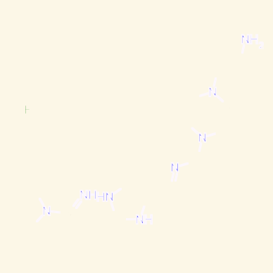 N=C(/C=C\C1NC=C(c2cccc(N3CCN(CCN)CC3)n2)N1)N1CCC[C@@H]1c1cccc(F)c1